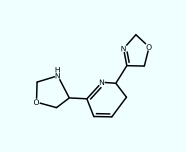 C1=CC(C2COCN2)=NC(C2=NCOC2)C1